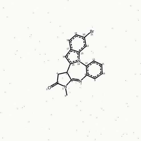 CN1C(=O)CC2C1=Nc1ccccc1-n1c2cc2ccc(Br)cc21